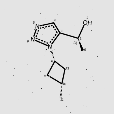 C[C@H](O)c1cnnn1[C@H]1C[C@@H](C)C1